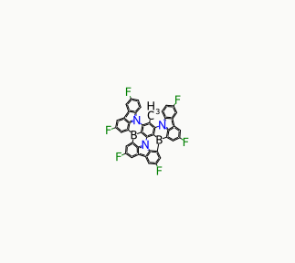 Cc1c2c3c4c5c1-n1c6ccc(F)cc6c6cc(F)cc(c61)B5c1cc(F)cc5c6cc(F)cc(c6n-4c15)B3c1cc(F)cc3c4cc(F)ccc4n-2c13